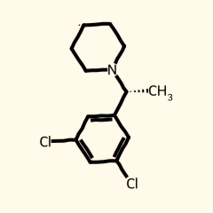 C[C@H](c1cc(Cl)cc(Cl)c1)N1CC[CH]CC1